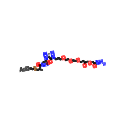 CC(=O)OCCSC[C@H](C)C(=O)NCC(=O)N[C@H](C)C(=O)NCCCOCCOCCOCCC(=O)COCC(N)=O